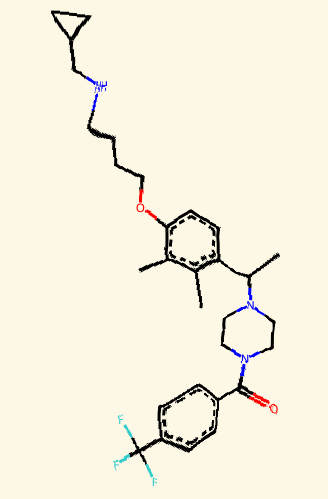 Cc1c(OCCCCNCC2CC2)ccc(C(C)N2CCN(C(=O)c3ccc(C(F)(F)F)cc3)CC2)c1C